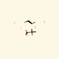 CC(C)(C)C(=O)O.O=C(O)/C=C/C(=O)O